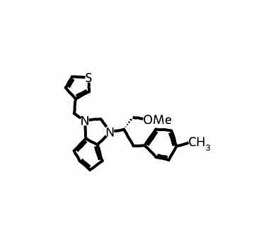 COC[C@H](Cc1ccc(C)cc1)N1CN(Cc2ccsc2)c2ccccc21